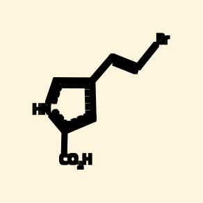 O=C(O)c1cc(C=CBr)c[nH]1